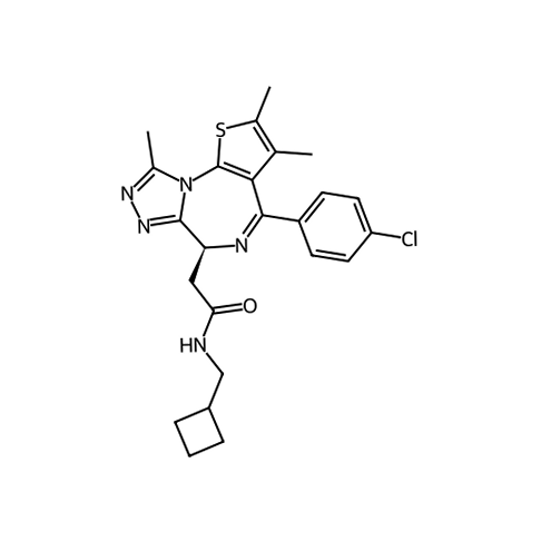 Cc1sc2c(c1C)C(c1ccc(Cl)cc1)=N[C@@H](CC(=O)NCC1CCC1)c1nnc(C)n1-2